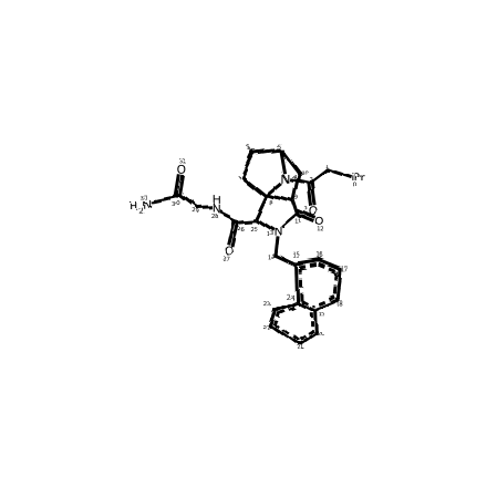 CC(C)CC(=O)N1C2CCC13C(C2)C(=O)N(Cc1cccc2ccccc12)C3C(=O)NCC(N)=O